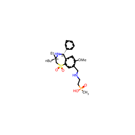 CCCC[C@]1(CC)CS(=O)(=O)c2cc(CNCCP(C)(=O)O)c(OC)cc2[C@@H](c2ccccc2)N1